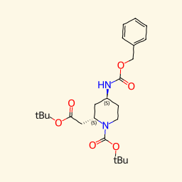 CC(C)(C)OC(=O)C[C@@H]1C[C@@H](NC(=O)OCc2ccccc2)CCN1C(=O)OC(C)(C)C